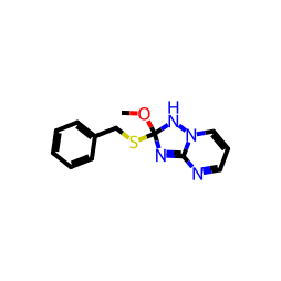 COC1(SCc2ccccc2)N=C2N=CC=CN2N1